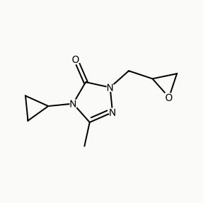 Cc1nn(CC2CO2)c(=O)n1C1CC1